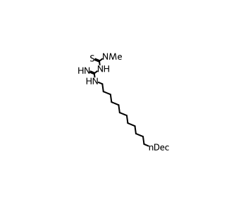 CCCCCCCCCCCCCCCCCCCCCCNC(=N)NC(=S)NC